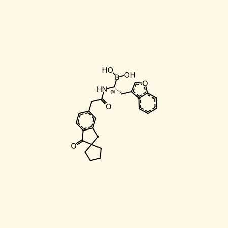 O=C(Cc1ccc2c(c1)CC1(CCCC1)C2=O)N[C@@H](Cc1coc2ccccc12)B(O)O